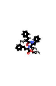 CCOC(=O)[C@@H](CCc1ccccc1)/N=C(\C)C(Cc1ccccc1)NC(=O)C(C)Cc1ccccc1